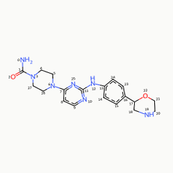 NC(=O)N1CCN(c2ccnc(Nc3ccc(C4CNCCO4)cc3)n2)CC1